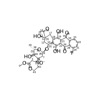 CO[C@@H]1C[N+]([O-])([C@H]2C[C@H](O[C@H]3C[C@](O)(C(C)=O)Cc4c(O)c5c(c(O)c43)C(=O)c3c(F)cccc3C5=O)O[C@@H](C)[C@H]2O)CCO1